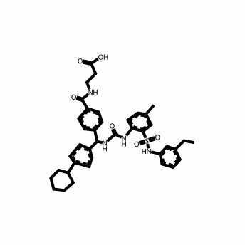 CCc1cccc(NS(=O)(=O)c2cc(C)ccc2NC(=O)NC(c2ccc(C(=O)NCCC(=O)O)cc2)c2ccc(C3CCCCC3)cc2)c1